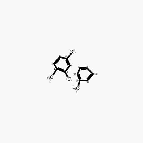 Oc1ccc(Cl)cc1Cl.Oc1ccccc1